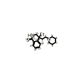 CCC1(CCN2CCCCC2)CNC(=S)c2ccccc21